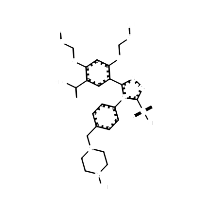 COCOc1cc(OCOC)c(C(C)C)cc1-c1nnc(S(C)(=O)=O)n1-c1ccc(CN2CCN(C)CC2)cc1